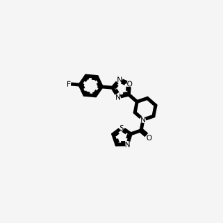 O=C(c1nccs1)N1CCCC(c2nc(-c3ccc(F)cc3)no2)C1